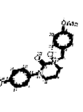 COc1ccc(C[N+]2([O-])CC=CN(c3ccc(O)cc3)C2=O)cc1